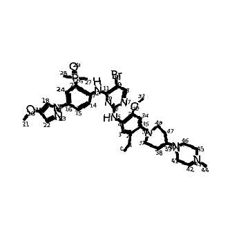 CCc1cc(Nc2ncc(Br)c(Nc3ccc(-n4cc(OC)cn4)cc3P(C)(C)=O)n2)c(OC)cc1N1CCC(N2CCN(C)CC2)CC1